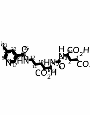 O=C(O)CCC(NC(=O)NC(CCCCNC(=O)c1cncc([125I])c1)C(=O)O)C(=O)O